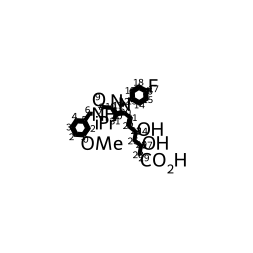 COc1cccc(CNC(=O)c2nn(-c3ccc(F)cc3)c(C=C[C@H](O)C[C@@H](O)CC(=O)O)c2C(C)C)c1